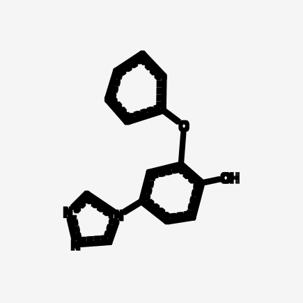 Oc1ccc(-n2cnnc2)cc1Oc1ccccc1